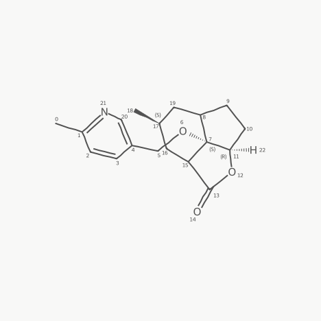 Cc1ccc(CO[C@]23C4CC[C@H]2OC(=O)C3C[C@@H](C)C4)cn1